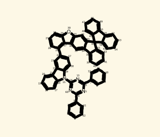 c1ccc(-c2nc(-c3ccccc3)nc(-n3c4ccccc4c4cc(-c5cccc6oc7cc8c(cc7c56)-c5ccccc5C85c6ccccc6-c6ccccc65)ccc43)n2)cc1